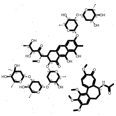 CO[C@H](C(=O)[C@@H](O)[C@@H](C)O)C1Cc2cc3cc(O[C@H]4C[C@@H](O[C@H]5C[C@@H](O)[C@H](O)[C@@H](C)O5)[C@@H](O)[C@@H](C)O4)c(C)c(O)c3c(O)c2C(=O)[C@H]1O[C@H]1C[C@@H](O[C@H]2C[C@@H](O[C@H]3C[C@](C)(O)[C@H](O)[C@@H](C)O3)[C@H](O)[C@@H](C)O2)[C@H](O)[C@@H](C)O1.COc1cc2c(c(OC)c1OC)-c1ccc(OC)c(=O)cc1[C@@H](NC(C)=O)CC2